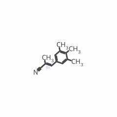 C/C(C#N)=C\c1cc(C)c(C)c(C)c1